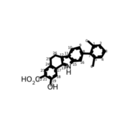 Cc1cccc(C)c1-c1ccc2c3c([nH]c2c1)-c1cc(O)c(C(=O)O)cc1CC3